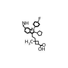 CC1(CCc2c(C3CCCC3)n(-c3ccc(F)cc3)c3cc(C=N)ccc23)CC(C(=O)O)C1